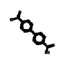 O=C(O)c1ccc(-c2ccc(C(=O)Cl)cc2)cc1